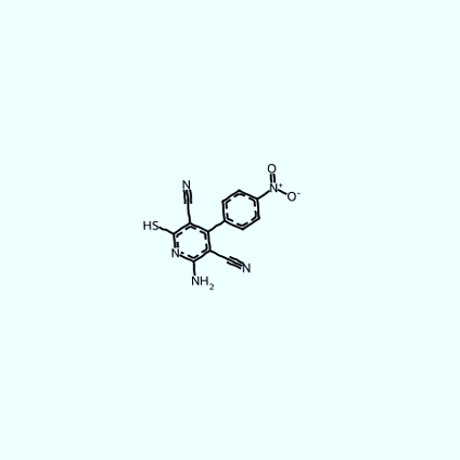 N#Cc1c(N)nc(S)c(C#N)c1-c1ccc([N+](=O)[O-])cc1